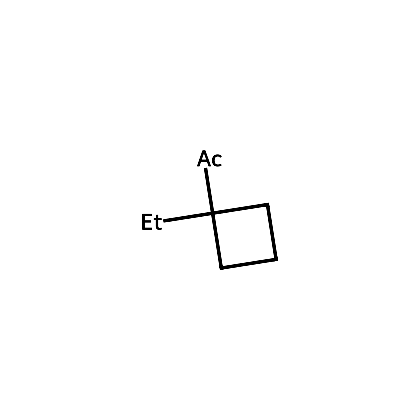 CCC1(C(C)=O)CCC1